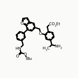 CCOC(=O)Cc1ccc(C(C)N)cc1OCc1cc(-c2cccc(CNC(=O)OC(C)(C)C)c2)c2occc2c1